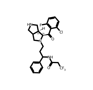 O=C(CC(F)(F)F)NC(CCN1CC2CNC[C@H]2[C@H]1C(=O)c1c(F)cccc1Cl)c1ccccc1